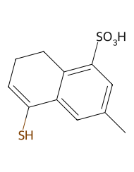 Cc1cc2c(c(S(=O)(=O)O)c1)CCC=C2S